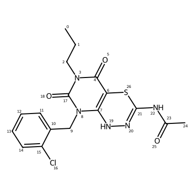 CCCn1c(=O)c2c(n(Cc3ccccc3Cl)c1=O)NN=C(NC(C)=O)S2